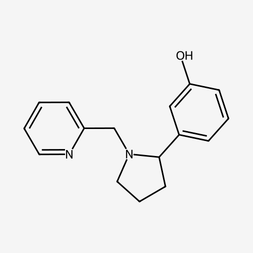 Oc1cccc(C2CCCN2Cc2ccccn2)c1